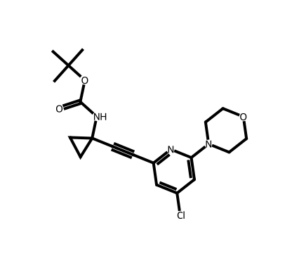 CC(C)(C)OC(=O)NC1(C#Cc2cc(Cl)cc(N3CCOCC3)n2)CC1